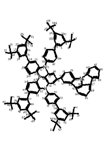 CC(C)(C)c1cc(-c2ccc(N3c4cc(-c5cc(C(C)(C)C)cc(C(C)(C)C)c5)ccc4B4c5ccc(-c6cc(C(C)(C)C)cc(C(C)(C)C)c6)cc5N(c5ccc(-c6cc(C(C)(C)C)cc(C(C)(C)C)c6)cc5)c5cc(-c6ccc7c(c6)c6cccc8c9ccccc9n7c86)cc3c54)cc2)cc(C(C)(C)C)c1